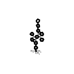 CC(C)(C)c1ccc(-c2ccc3c(c2)-c2cccc4c2B3c2cc3c(cc2N4c2ccccc2)B2c4ccc(-c5ccc(C6CCCCC6)cc5)cc4-c4cccc(c42)N3c2ccccc2)cc1